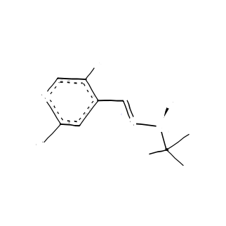 CC(C)(C)[S@+]([O-])/N=C/c1cc(Cl)ncc1Br